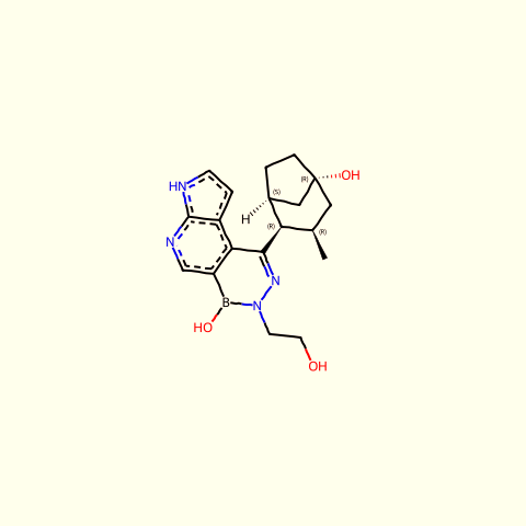 C[C@@H]1C[C@]2(O)CC[C@@H](C2)[C@@H]1C1=NN(CCO)B(O)c2cnc3[nH]ccc3c21